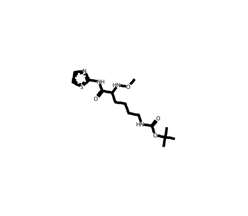 CONC(CCCCNC(=O)OC(C)(C)C)C(=O)Nc1nccs1